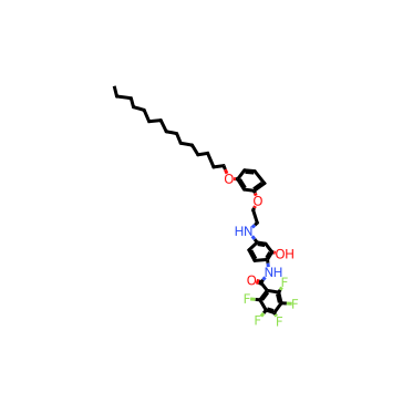 CCCCCCCCCCCCCCCOc1cccc(OCCNc2ccc(NC(=O)c3c(F)c(F)c(F)c(F)c3F)c(O)c2)c1